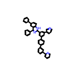 c1ccc(C2=NC(c3cc(-c4ccc(-c5cccc(-c6ccccn6)c5)cc4)cc(-c4cccnc4)c3)Nc3ccc(-c4ccccc4)cc32)cc1